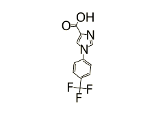 O=C(O)c1cn(-c2ccc(C(F)(F)F)cc2)cn1